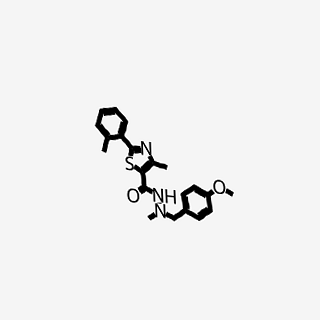 COc1ccc(CN(C)NC(=O)c2sc(-c3ccccc3C)nc2C)cc1